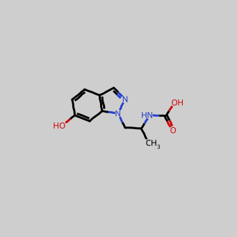 CC(Cn1ncc2ccc(O)cc21)NC(=O)O